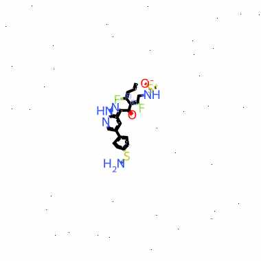 C=C/C=C(F)\C(C(=O)c1n[nH]c2ncc(-c3ccc(SN)cc3)cc12)=C(\F)CN[S+](C)[O-]